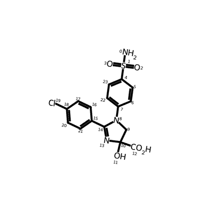 NS(=O)(=O)c1ccc(N2CC(O)(C(=O)O)N=C2c2ccc(Cl)cc2)cc1